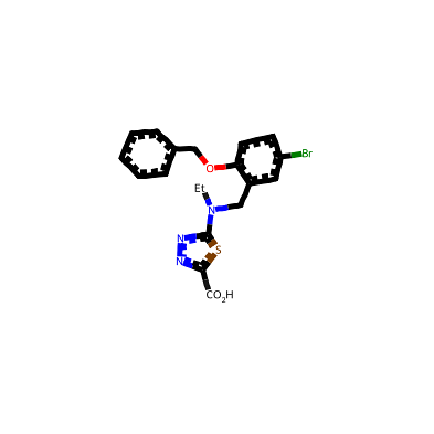 CCN(Cc1cc(Br)ccc1OCc1ccccc1)c1nnc(C(=O)O)s1